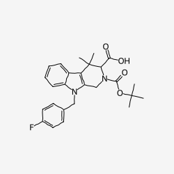 CC(C)(C)OC(=O)N1Cc2c(c3ccccc3n2Cc2ccc(F)cc2)C(C)(C)C1C(=O)O